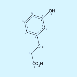 O=C(O)CSc1cccc(O)c1